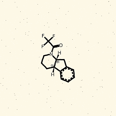 O=C(N1CCC[C@H]2c3ccccc3C[C@H]21)C(F)(F)F